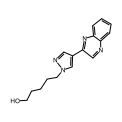 OCCCCCn1cc(-c2cnc3ccccc3n2)cn1